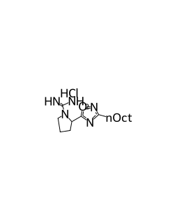 CCCCCCCCc1noc(C2CCCN2C(=N)N)n1.Cl